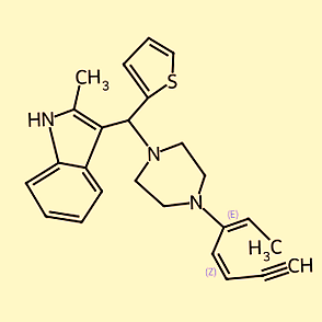 C#C/C=C\C(=C/C)N1CCN(C(c2cccs2)c2c(C)[nH]c3ccccc23)CC1